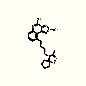 CCCn1cc2c(n1)c(N)nc1cccc(CCCCN3C(C)=NOC34CCCC4)c12